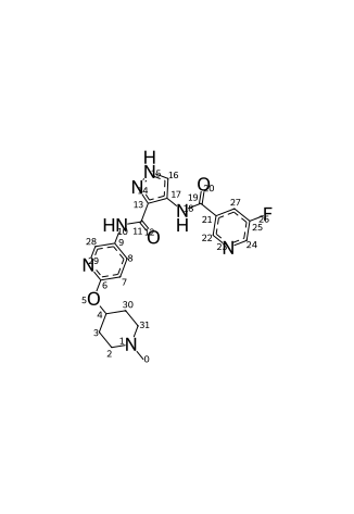 CN1CCC(Oc2ccc(NC(=O)c3n[nH]cc3NC(=O)c3cncc(F)c3)cn2)CC1